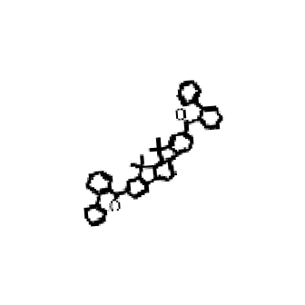 CC1(C)c2cc(C(=O)C3=C(c4ccccc4)CCC=C3)ccc2-c2ccc3c(c21)C(C)(C)c1cc(C(=O)c2ccccc2-c2ccccc2)ccc1-3